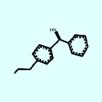 CCCc1ccc(C(=N)c2ccccc2)cc1